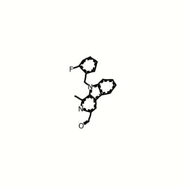 Cc1nc(C=O)cc2c3ccccc3n(Cc3ccccc3F)c12